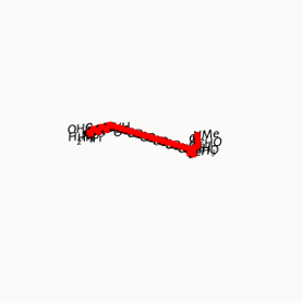 CNC(=O)CCC(C=O)N(C)C(=O)c1c(C=O)cccc1NCCOCCOCCOCCOCCOCCOCCOCCOCCOCCOCCC(=O)NCCN1CCN(c2ccc(-c3cc(C=O)c(CN)c(NC(C)C)c3)cn2)CC1